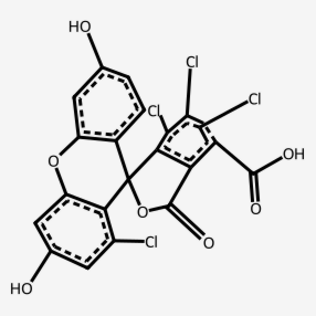 O=C(O)c1c(Cl)c(Cl)c(Cl)c2c1C(=O)OC21c2ccc(O)cc2Oc2cc(O)cc(Cl)c21